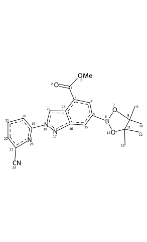 COC(=O)c1cc(B2OC(C)(C)C(C)(C)O2)cc2nn(-c3cccc(C#N)n3)cc12